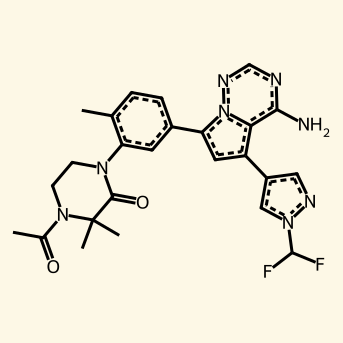 CC(=O)N1CCN(c2cc(-c3cc(-c4cnn(C(F)F)c4)c4c(N)ncnn34)ccc2C)C(=O)C1(C)C